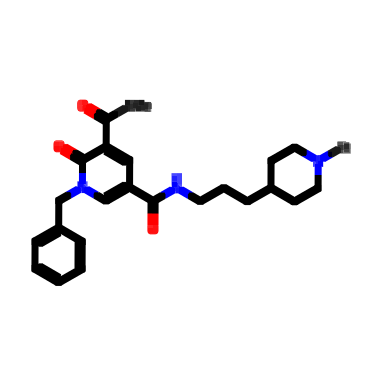 CCN1CCC(CCCNC(=O)c2cc(C(=O)NC)c(=O)n(Cc3ccccc3)c2)CC1